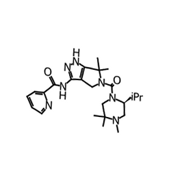 CC(C)[C@H]1CN(C)C(C)(C)CN1C(=O)N1Cc2c(NC(=O)c3ccccn3)n[nH]c2C1(C)C